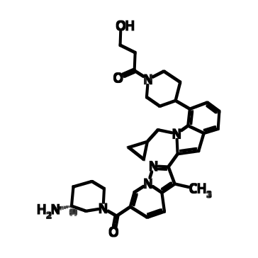 Cc1c(-c2cc3cccc(C4CCN(C(=O)CCO)CC4)c3n2CC2CC2)nn2cc(C(=O)N3CCC[C@@H](N)C3)ccc12